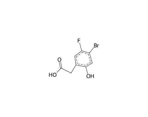 O=C(O)Cc1cc(F)c(Br)cc1O